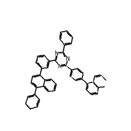 C/C=C\c1c(C)cccc1-c1ccc(-c2nc(-c3ccccc3)nc(-c3cccc(-c4ccc(C5=CCCC=C5)c5ccccc45)c3)n2)cc1